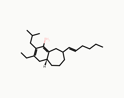 BC1=C2CC(/C=C/CCCC)CCC[C@@H]2CC(CC)=C1CC(C)C